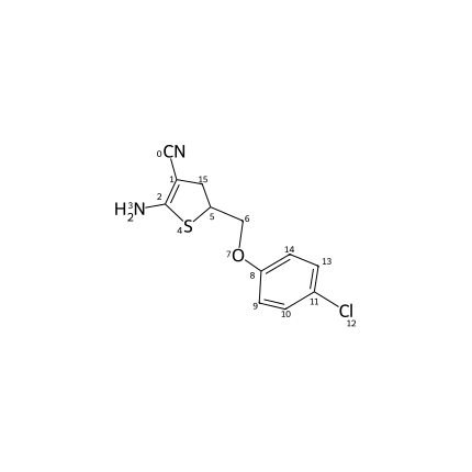 N#CC1=C(N)SC(COc2ccc(Cl)cc2)C1